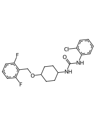 O=C(Nc1ccccc1Cl)NC1CCC(OCc2c(F)cccc2F)CC1